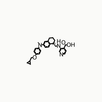 CN(c1ccc(OCC2CC2)cc1)c1ccc2c(c1)CCC[C@H]2CNc1cnccc1C(=O)O